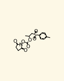 Cc1ccc(S(=O)(=O)CC(C)OC(=O)ON2C(=O)CCC2=O)cc1